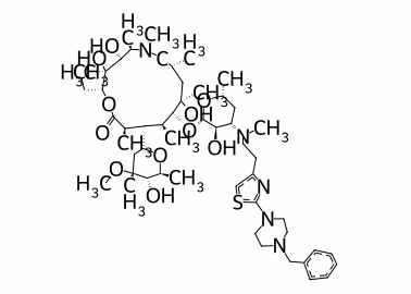 CC[C@H]1OC(=O)[C@H](C)[C@@H](C2C[C@@](C)(OC)[C@@H](O)[C@H](C)O2)[C@H](C)[C@@H](O[C@@H]2O[C@H](C)C[C@H](N(C)CCc3csc(N4CCN(Cc5ccccc5)CC4)n3)[C@H]2O)[C@](C)(O)C[C@@H](C)CN(C)[C@H](C)[C@@H](O)[C@]1(C)O